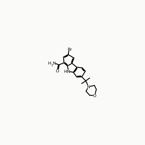 CC(C)(c1ccc2c(c1)[nH]c1c(C(N)=O)cc(Br)cc12)N1CCOCC1